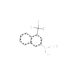 OB(O)c1cc(C(F)(F)F)c2ccccc2c1